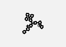 CC1(C)c2cc(-c3ccccc3)ccc2-c2ccc(N(c3ccc(-c4cccc5c4oc4ccccc45)cc3)c3ccc4c(c3)-c3ccccc3C4(c3ccccc3)c3ccccc3)cc21